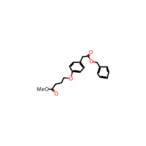 COC(=O)CCCOc1ccc(CC(=O)OCc2ccccc2)cc1